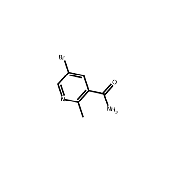 Cc1ncc(Br)cc1C(N)=O